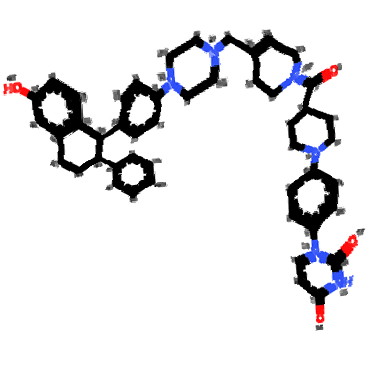 O=C(C1CCN(c2ccc(-n3ccc(=O)[nH]c3=O)cc2)CC1)N1CCC(CN2CCN(c3ccc([C@@H]4c5ccc(O)cc5CC[C@@H]4c4ccccc4)cc3)CC2)CC1